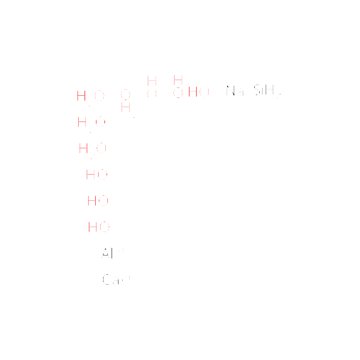 O.O.O.O.[Al+3].[Ca+2].[Na+].[OH-].[OH-].[OH-].[OH-].[OH-].[OH-].[SiH4]